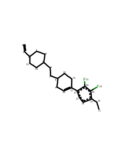 C=CC1CCC(CCC2CC=C(c3ccc(CC)c(F)c3F)CC2)CC1